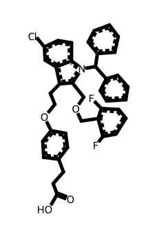 O=C(O)CCc1ccc(OCCc2c(COCc3c(F)cccc3F)n(C(c3ccccc3)c3ccccc3)c3ccc(Cl)cc23)cc1